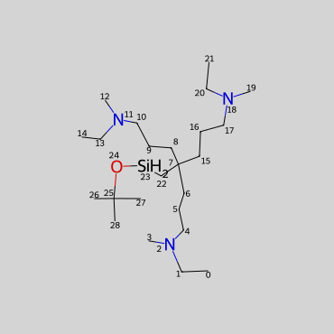 CCN(C)CCCC(CCCN(C)CC)(CCCN(C)CC)C[SiH2]OC(C)(C)C